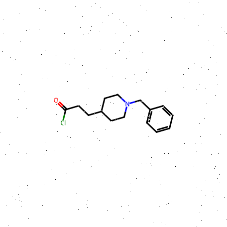 O=C(Cl)CCC1CCN(Cc2ccccc2)CC1